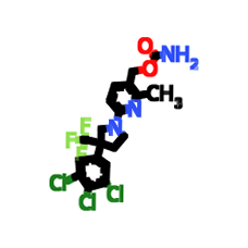 Cc1nc(N2CCC(c3cc(Cl)c(Cl)c(Cl)c3)(C(F)(F)F)C2)ccc1COC(N)=O